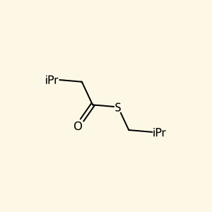 CC(C)CSC(=O)CC(C)C